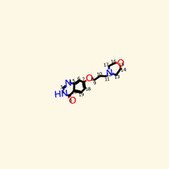 O=c1[nH]cnc2cc(OCCCN3CCOCC3)ccc12